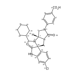 O=C(O)c1ccc(N2C[C@@H]3C(C[C@@]4(C(=O)Nc5cc(Cl)ccc54)N3CC3CCCCC3)C2=O)cc1